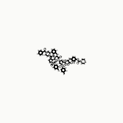 Cc1ccc(S(=O)(=O)N2CC(OC(=O)[C@H](Cc3ccccc3)N(OC(=O)N3CCN(C(=O)c4ccccc4)CC3)C(=O)[C@@H]3CCCN3S(=O)(=O)c3ccc(C)cc3)C[C@H]2C(=O)N[C@@H](Cc2ccc(OC(=O)N3CCSCC3)cc2)C(=O)O)cc1